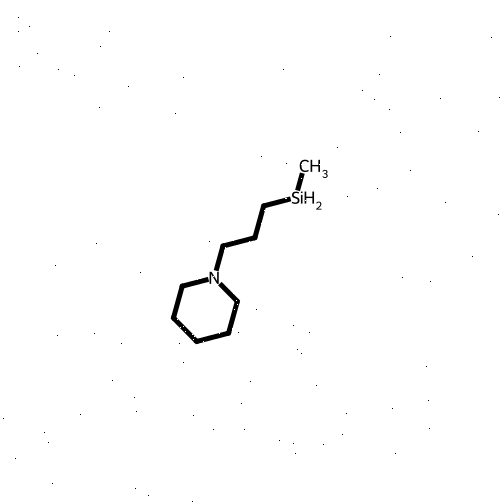 C[SiH2]CCCN1CCCCC1